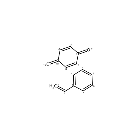 C=Cc1ccccc1.O=C1C=CC(=O)C=C1